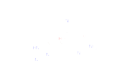 CCCC(O)(Cc1c(Sc2cnc(Nc3ccccn3)s2)ccnc1C(N)=O)c1ccccn1